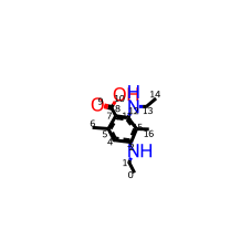 CCNc1cc(C)c(C(=O)O)c(NCC)c1C